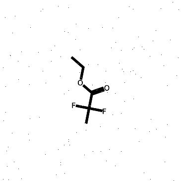 CCOC(=O)C(C)(F)F